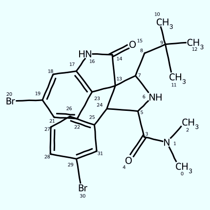 CN(C)C(=O)C1NC(CC(C)(C)C)C2(C(=O)Nc3cc(Br)ccc32)C1c1cccc(Br)c1